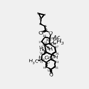 CC(=O)[C@@]1(OC(=O)CCC2CC2)CC[C@H]2[C@@H]3C[C@H](C)C4=CC(=O)CC[C@]4(C)[C@H]3CC[C@@]21C